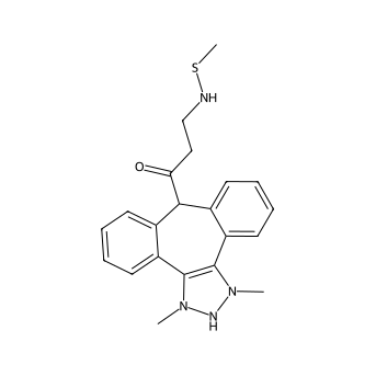 CSNCCC(=O)C1c2ccccc2C2=C(c3ccccc31)N(C)NN2C